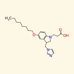 CCCCCCCCOc1ccc2c(c1)C(Cn1ccnc1)CN2CCC(=O)O